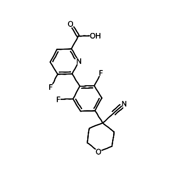 N#CC1(c2cc(F)c(-c3nc(C(=O)O)ccc3F)c(F)c2)CCOCC1